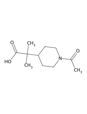 CC(=O)N1CCC(C(C)(C)C(=O)O)CC1